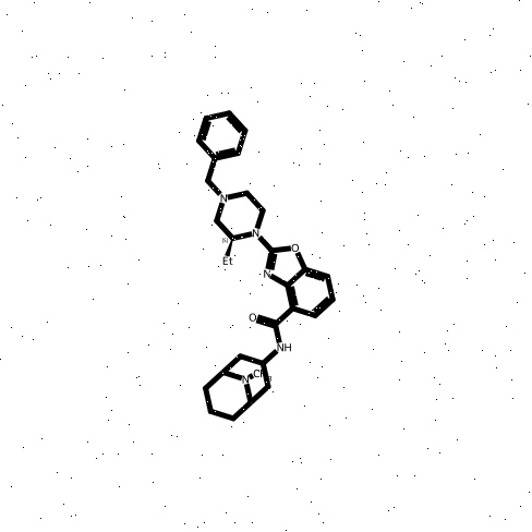 CC[C@H]1CN(Cc2ccccc2)CCN1c1nc2c(C(=O)NC3CC4CCCC(C3)N4C)cccc2o1